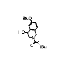 CC(C)COc1ccc2c(c1)C(O)CN(C(=O)OC(C)(C)C)C2